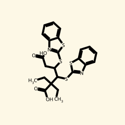 CCC(CC)(C(=O)O)C(Sc1nc2ccccc2s1)C(CC(=O)O)Sc1nc2ccccc2s1